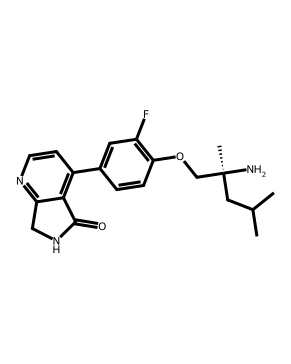 CC(C)C[C@](C)(N)COc1ccc(-c2ccnc3c2C(=O)NC3)cc1F